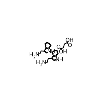 NCCc1c[nH]c2ccccc12.NCCc1c[nH]c2ccccc12.O=C(O)CCC(=O)O